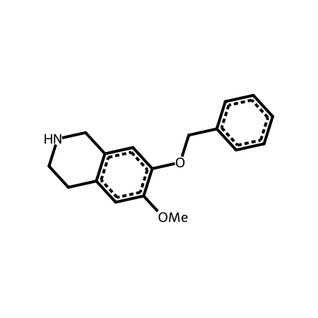 COc1cc2c(cc1OCc1ccccc1)CNCC2